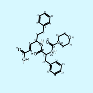 O=C(O)C=CC(CCc1ccccc1)NC(=O)C(Cc1ccccc1)NC(=O)N1CCOCC1